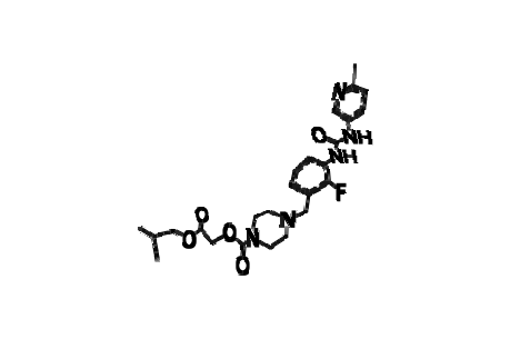 Cc1ccc(NC(=O)Nc2cccc(CN3CCN(C(=O)OCC(=O)OCC(C)C)CC3)c2F)cn1